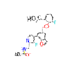 CC(C)(C)[S@+]([O-])NCc1nccc(-c2cc(COc3c(F)cccc3CC(=O)O)cc3ccoc23)c1F